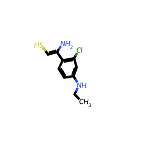 CCNc1ccc(/C(N)=C/S)c(Cl)c1